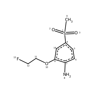 CS(=O)(=O)c1ccc(N)c(OCCF)c1